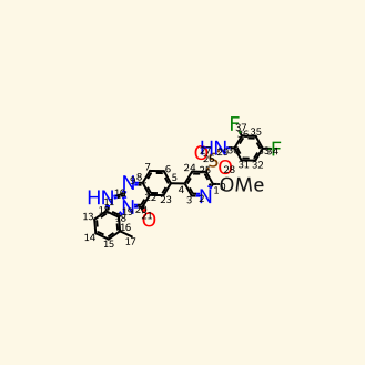 COc1ncc(-c2ccc3nc4[nH]c5cccc(C)c5n4c(=O)c3c2)cc1S(=O)(=O)Nc1ccc(F)cc1F